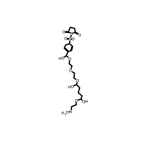 CSCCOC(O)CCCC(O)OCCOCCOC(O)C1=CCC(S(=O)(=O)N2C(=O)CCC2=O)C=C1